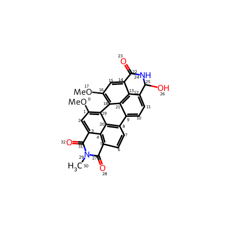 COc1cc2c3c(ccc4c5ccc6c7c(cc(OC)c(c1c34)c75)C(=O)NC6O)C(=O)N(C)C2=O